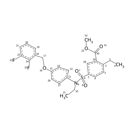 CCc1ccc(S(=O)(=O)N(CC)c2ccc(OCc3cccc(F)c3F)cc2)cc1C(=O)OC